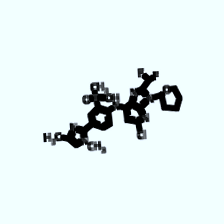 Cc1cn(C)c(-c2ccc(Nc3cc(Cl)nc4c3nc(C(F)F)n4C3CCCCO3)c(S(C)(=O)=O)c2)n1